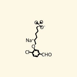 O=Cc1ccc(Cl)c(OCCCCCCS(=O)(=O)[O-])c1.[Na+]